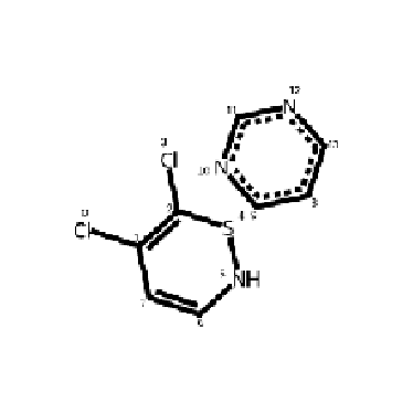 ClC1=C(Cl)SNC=C1.c1cncnc1